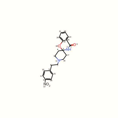 O=C1NC2(CCN(CCc3ccc([N+](=O)[O-])cc3)CC2)Oc2ccccc21